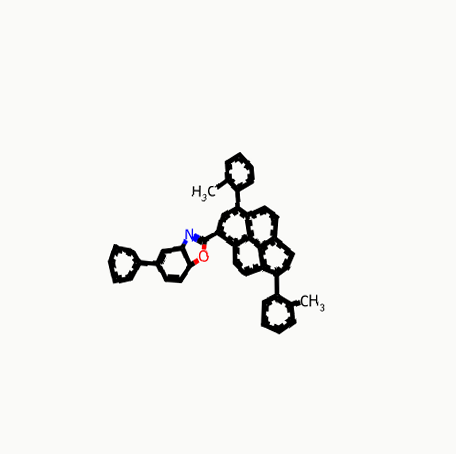 Cc1ccccc1-c1ccc2ccc3c(-c4ccccc4C)cc(C4=NC5C=C(c6ccccc6)C=CC5O4)c4ccc1c2c43